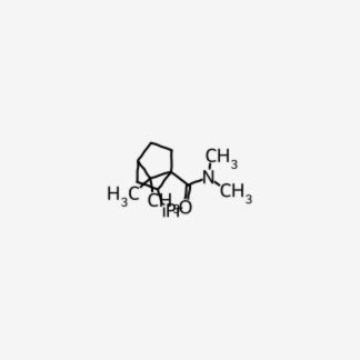 CC(C)C1CC2CCC1(C(=O)N(C)C)C2(C)C